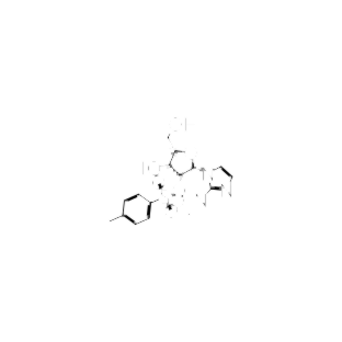 Cc1ccc(S(=O)(=O)O[C@@H]2[C@H](O)[C@@H](CO)O[C@H]2n2ccnc2[N+](=O)[O-])cc1